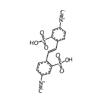 [C-]#[N+]c1ccc(C=Cc2ccc([N+]#[C-])cc2S(=O)(=O)O)c(S(=O)(=O)O)c1